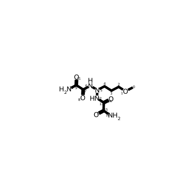 COCCCN(NC(=O)C(N)=O)NC(=O)C(N)=O